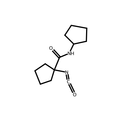 O=C=NC1(C(=O)NC2CCCC2)CCCC1